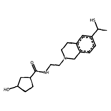 CC(S)c1ccc2c(c1)CCN(CCNC(=O)C1CCC(O)C1)C2